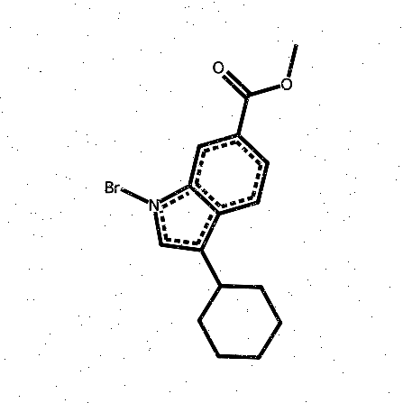 COC(=O)c1ccc2c(C3CCCCC3)cn(Br)c2c1